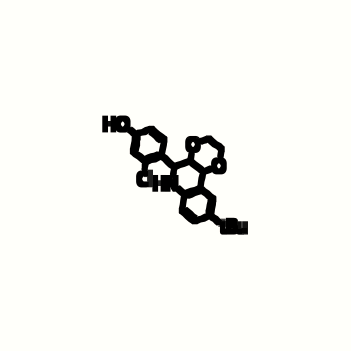 CC(C)(C)c1ccc2c(c1)C1OCCOC1C(c1ccc(O)cc1Cl)N2